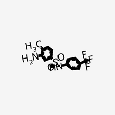 Cc1ccc(S(=O)(=O)Nc2ccc(C(F)(F)F)cc2)cc1N